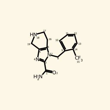 NC(=O)c1nc2c(n1Cc1ccccc1C(F)(F)F)CCNC2